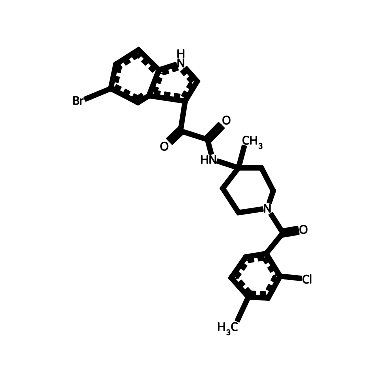 Cc1ccc(C(=O)N2CCC(C)(NC(=O)C(=O)c3c[nH]c4ccc(Br)cc34)CC2)c(Cl)c1